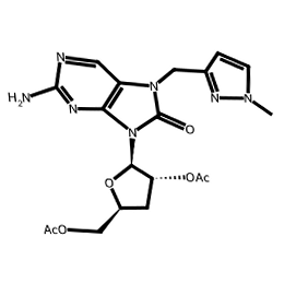 CC(=O)OC[C@@H]1C[C@@H](OC(C)=O)[C@H](n2c(=O)n(Cc3ccn(C)n3)c3cnc(N)nc32)O1